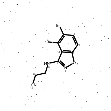 Cc1c(Br)ccc2onc(NCCC#N)c12